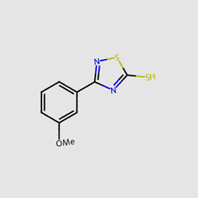 COc1cccc(-c2nsc(S)n2)c1